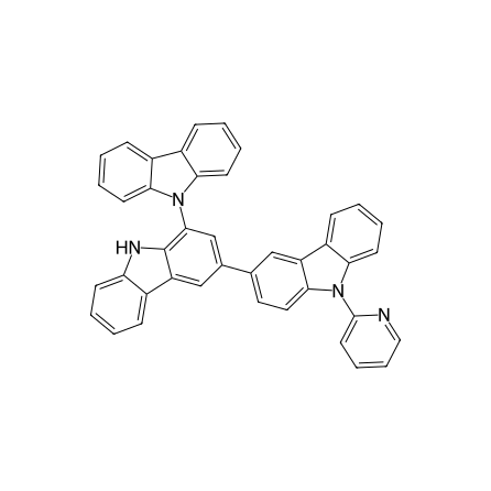 c1ccc(-n2c3ccccc3c3cc(-c4cc(-n5c6ccccc6c6ccccc65)c5[nH]c6ccccc6c5c4)ccc32)nc1